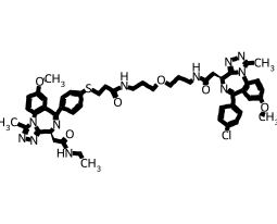 CCNC(=O)C[C@@H]1N=C(c2ccc(SCCC(=O)NCCCOCCCNC(=O)C[C@@H]3N=C(c4ccc(Cl)cc4)c4cc(OC)ccc4-n4c(C)nnc43)cc2)c2cc(OC)ccc2-n2c(C)nnc21